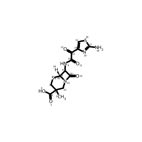 CC1(C(=O)O)CS[C@@H]2C(NC(=O)C(=O)c3csc(N)n3)C(=O)N2C1